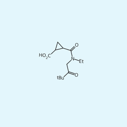 CCN(CC(=O)C(C)(C)C)C(=O)C1CC1C(=O)O